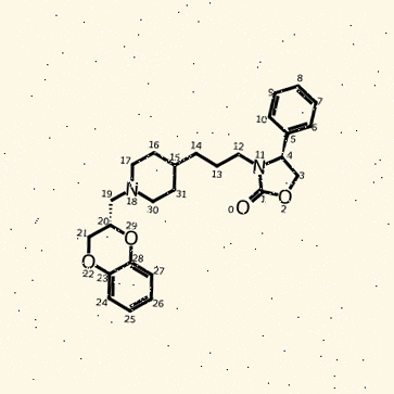 O=C1OC[C@H](c2ccccc2)N1CCCC1CCN(C[C@H]2COc3ccccc3O2)CC1